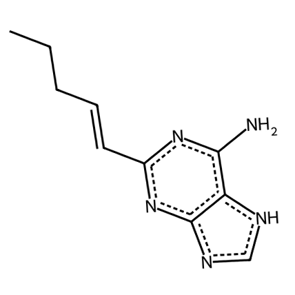 CCCC=Cc1nc(N)c2[nH]cnc2n1